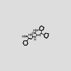 N=C/C(=C\C(=N)NC1N=C(c2ccccc2)c2ccccc2NC1=O)c1ccccc1